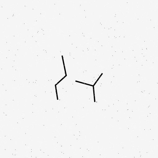 [CH2]C(C)C.[CH2]CCC